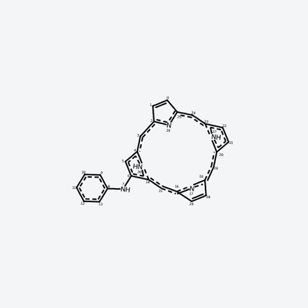 C1=Cc2cc3cc(Nc4ccccc4)c(cc4nc(cc5ccc(cc1n2)[nH]5)C=C4)[nH]3